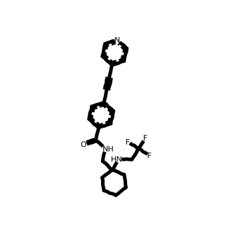 O=C(NCC1(NCC(F)(F)F)CCCCC1)c1ccc(C#Cc2ccncc2)cc1